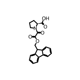 O=C(OCC1c2ccccc2-c2ccccc21)C(=O)N1CCC[C@H]1C(=O)O